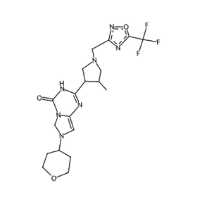 CC1CN(Cc2noc(C(F)(F)F)n2)CC1C1=NC2=CN(C3CCOCC3)CN2C(=O)N1